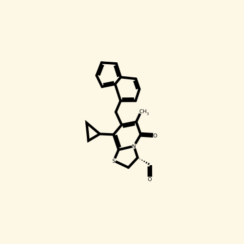 Cc1c(Cc2cccc3ccccc23)c(C2CC2)c2n(c1=O)[C@H](C=O)CS2